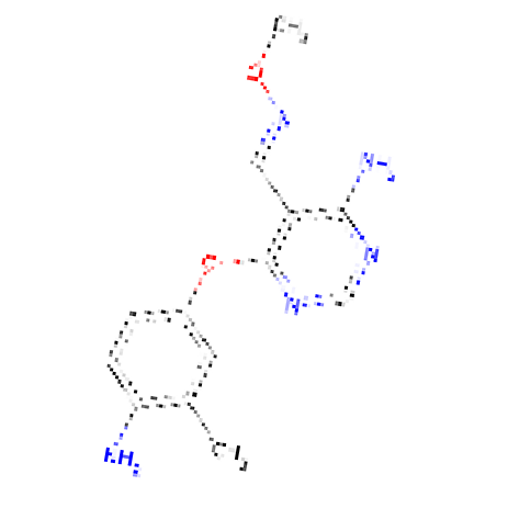 CON=Cc1c(N)ncnc1Oc1ccc(N)c(C)c1